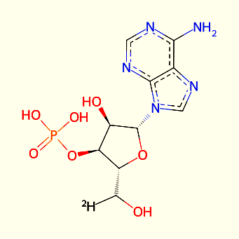 [2H]C(O)[C@H]1O[C@@H](n2cnc3c(N)ncnc32)[C@H](O)[C@@H]1OP(=O)(O)O